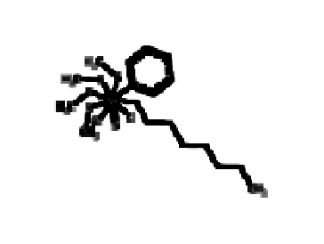 CCCCCCC[CH2][Zn](=[S])([Cl])([Cl])([S]C)([S]C)([S]C)([S]C)[c]1ccccc1